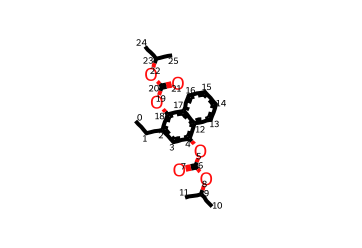 CCc1cc(OC(=O)OC(C)C)c2ccccc2c1OC(=O)OC(C)C